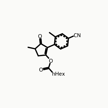 CCCCCCC(=O)OC1=C(c2ccc(C#N)cc2C)C(=O)C(C)C1